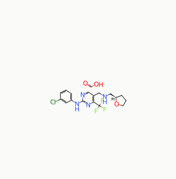 FC(F)(F)c1nc(Nc2cccc(Cl)c2)ncc1CNC[C@H]1CCCO1.O=CO